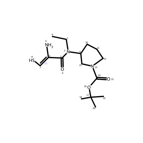 CCN(C(=O)/C(N)=C/S)C1CCCN(C(=O)OC(C)(C)C)C1